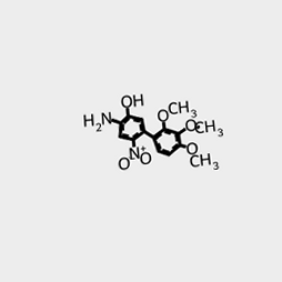 COc1ccc(-c2cc(O)c(N)cc2[N+](=O)[O-])c(OC)c1OC